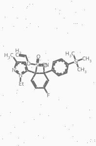 C=COS(=O)(=O)C1(c2cc(C)nn2CC)C=CC(F)=CC1(C#N)c1ccc([Si](C)(C)C)cc1